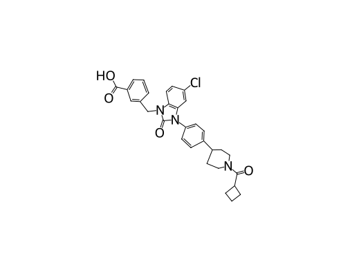 O=C(O)c1cccc(Cn2c(=O)n(-c3ccc(C4CCN(C(=O)C5CCC5)CC4)cc3)c3cc(Cl)ccc32)c1